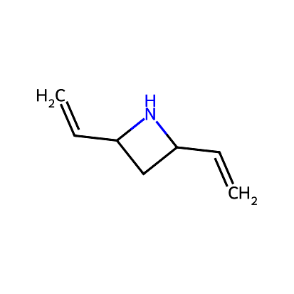 C=CC1CC(C=C)N1